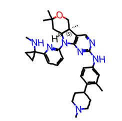 CNC1(c2cccc(N3c4nc(Nc5ccc(C6CCN(C)CC6)c(C)c5)ncc4[C@]4(C)COC(C)(C)C[C@H]34)n2)CC1